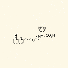 Cc1ncc(C(CC(=O)O)N2CC(OCCCc3ccc4c(n3)NCCC4)C2)cn1